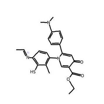 C/C=N/c1ccc(-n2cc(C(=O)OCC)c(=O)cc2-c2ccc(N(C)C)cc2)c(C)c1S